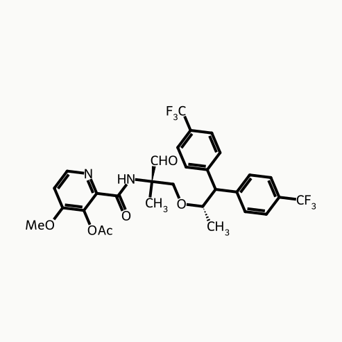 COc1ccnc(C(=O)N[C@](C)(C=O)CO[C@@H](C)C(c2ccc(C(F)(F)F)cc2)c2ccc(C(F)(F)F)cc2)c1OC(C)=O